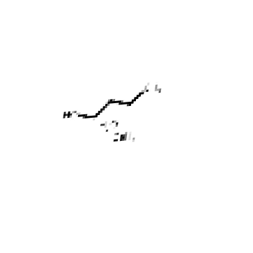 CCCCO.O.[GaH3]